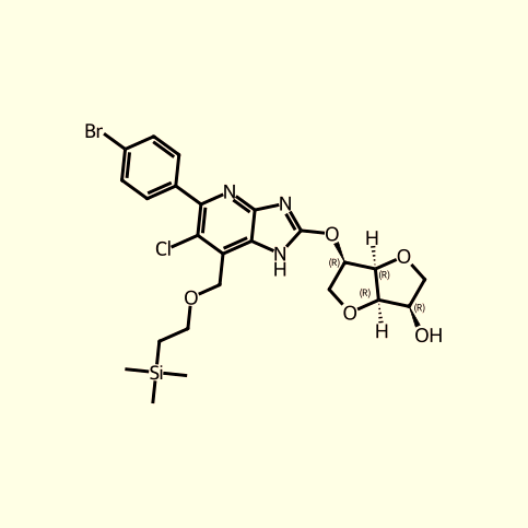 C[Si](C)(C)CCOCc1c(Cl)c(-c2ccc(Br)cc2)nc2nc(O[C@@H]3CO[C@H]4[C@@H]3OC[C@H]4O)[nH]c12